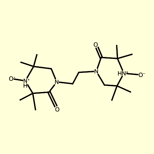 CC1(C)CN(CCN2CC(C)(C)[NH+]([O-])C(C)(C)C2=O)C(=O)C(C)(C)[NH+]1[O-]